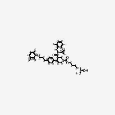 O=C(OCCCCON(O)O)N1CC=C(c2ccc(CCCOc3c(F)ccc(F)c3F)cc2)C(C(=O)N(Cc2c(F)cccc2Cl)C2CC2)C1